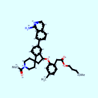 COCCCOC(=O)Cc1ccc(C)cc1OC1CC2(CCN(C(=O)OC)CC2)c2ccc(-c3ccc4ccnc(N)c4c3)cc21